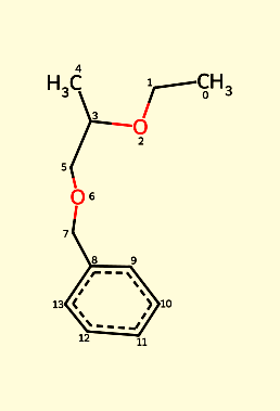 CCOC(C)COCc1ccccc1